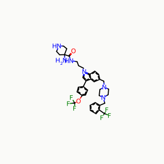 NC1(C(=O)NCCCn2cc(-c3ccc(OC(F)(F)F)cc3)c3cc(CN4CCN(Cc5ccccc5C(F)(F)F)CC4)ccc32)CCNCC1